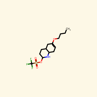 CCCCOC1=CCC2NC(OS(=O)(=O)C(F)(F)F)CCC2C1